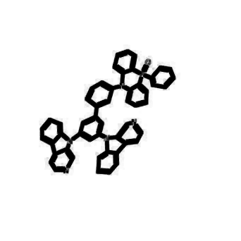 O=P1(c2ccccc2)c2ccccc2N(c2cccc(-c3cc(-n4c5ccccc5c5ccncc54)cc(-n4c5ccccc5c5ccncc54)c3)c2)c2ccccc21